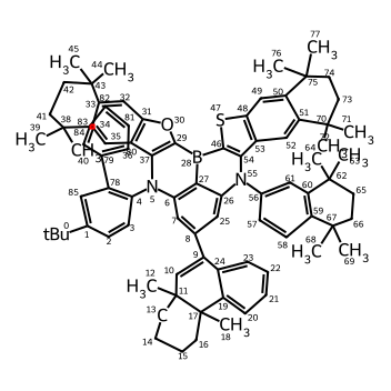 CC(C)(C)c1ccc(N2c3cc(C4=CC5(C)CCCCC5(C)c5ccccc54)cc4c3B(c3oc5cc6c(cc5c32)C(C)(C)CCC6(C)C)c2sc3cc5c(cc3c2N4c2ccc3c(c2)C(C)(C)CCC3(C)C)C(C)(C)CCC5(C)C)c(-c2ccccc2)c1